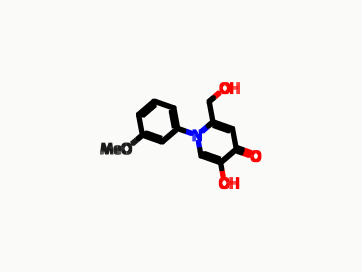 COc1cccc(-n2cc(O)c(=O)cc2CO)c1